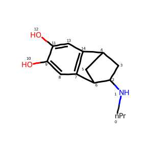 CCCNC1CC2CC1c1cc(O)c(O)cc12